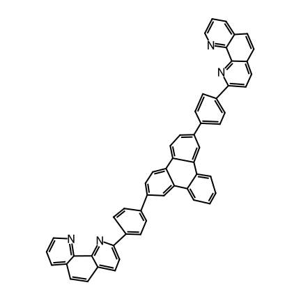 c1cnc2c(c1)ccc1ccc(-c3ccc(-c4ccc5c6ccc(-c7ccc(-c8ccc9ccc%10cccnc%10c9n8)cc7)cc6c6ccccc6c5c4)cc3)nc12